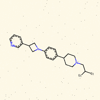 CCC(CC)CN1CCC(c2ccc(N3CC(c4cccnc4)C3)cc2)CC1